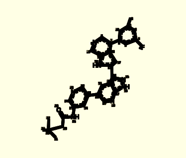 Cc1cc(F)cc(-c2cncc3[nH]c(-c4n[nH]c5ncc(-c6cncc(NC(=O)CC(C)(C)C)c6)cc45)cc23)c1